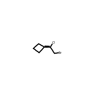 ClC(CBr)=C1CCC1